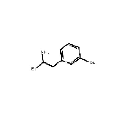 CCC(N)Cc1cccc(C(C)CC)c1